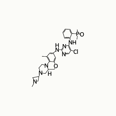 Cc1cc(Nc2ncc(Cl)c(Nc3ccccc3P(C)(C)=O)n2)cc2c1N1CCN(C3CN(C)C3)C[C@@H]1CO2